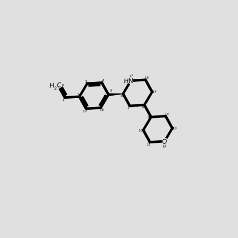 C=Cc1ccc([C@@H]2CC(C3CCOCC3)CCN2)cc1